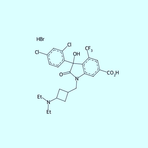 Br.CCN(CC)C1CC(CN2C(=O)C(O)(c3ccc(Cl)cc3Cl)c3c2cc(C(=O)O)cc3C(F)(F)F)C1